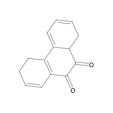 O=C1C(=O)C2CC=CC=C2C2=C1C=CCC2